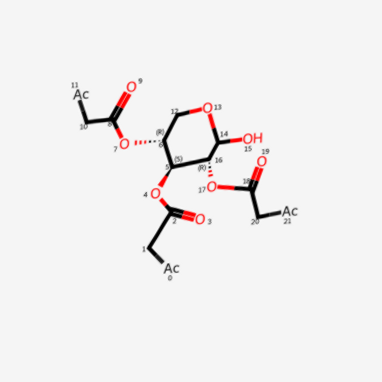 CC(=O)CC(=O)O[C@H]1[C@H](OC(=O)CC(C)=O)COC(O)[C@@H]1OC(=O)CC(C)=O